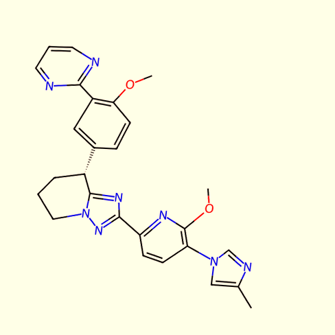 COc1ccc([C@H]2CCCn3nc(-c4ccc(-n5cnc(C)c5)c(OC)n4)nc32)cc1-c1ncccn1